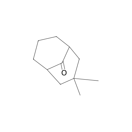 CC1(C)CC2CCCC(C1)C2=O